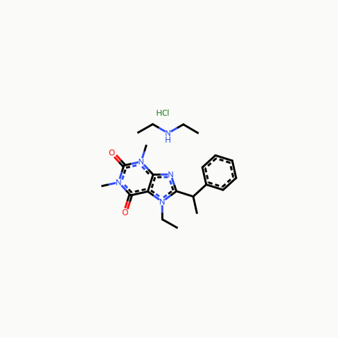 CCNCC.CCn1c(C(C)c2ccccc2)nc2c1c(=O)n(C)c(=O)n2C.Cl